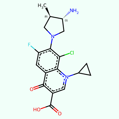 C[C@@H]1CN(c2c(F)cc3c(=O)c(C(=O)O)cn(C4CC4)c3c2Cl)C[C@H]1N